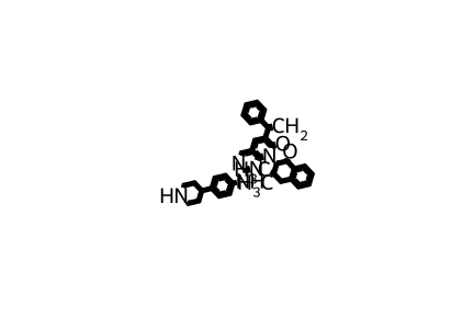 C=C(c1ccccc1)c1cc2cnc(Nc3ccc(C4CCNCC4)cc3)nc2n(C2C(=O)c3ccccc3CC2(C)C)c1=O